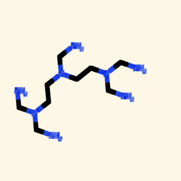 NCN(CN)CCN(CN)CCN(CN)CN